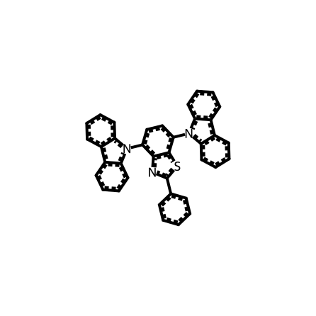 c1ccc(-c2nc3c(-n4c5ccccc5c5ccccc54)ccc(-n4c5ccccc5c5ccccc54)c3s2)cc1